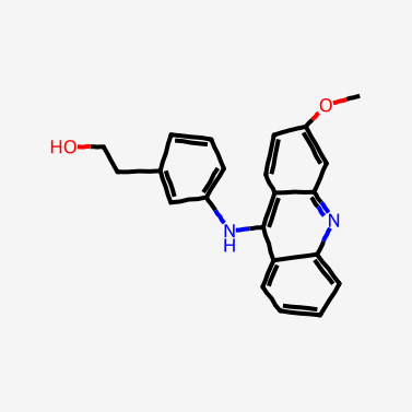 COc1ccc2c(Nc3cccc(CCO)c3)c3ccccc3nc2c1